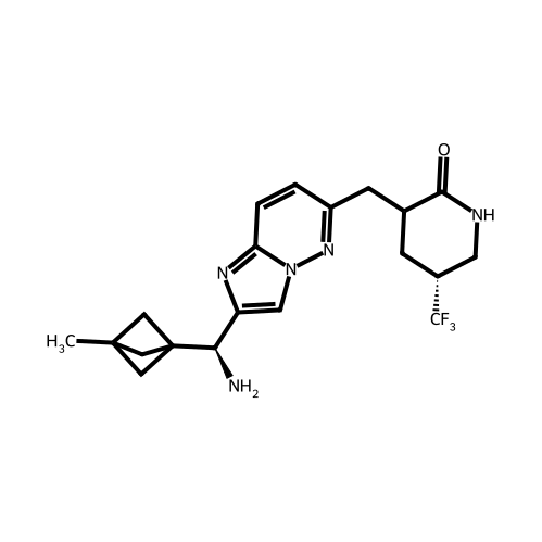 CC12CC([C@H](N)c3cn4nc(CC5C[C@@H](C(F)(F)F)CNC5=O)ccc4n3)(C1)C2